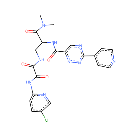 CN(C)C(=O)C(CNC(=O)C(=O)Nc1ccc(Cl)cn1)NC(=O)c1cnc(-c2ccncc2)nn1